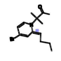 CCC/C=C1\C=C(Br)C=CN1C(C)(C)C(C)=O